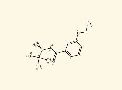 CCOc1cccc(C(=O)N[C@H](C)C(C)(C)C)c1